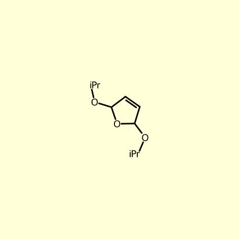 CC(C)OC1C=CC(OC(C)C)O1